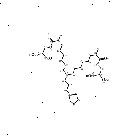 CCCCCCCCC(CCCC)COC(=O)C(C)CCCCCCN(CCCCCCC(C)C(=O)OCC(CCCC)CCCCCCCC)CCCN1CCCC1